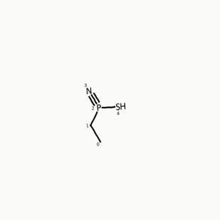 CCP(#N)S